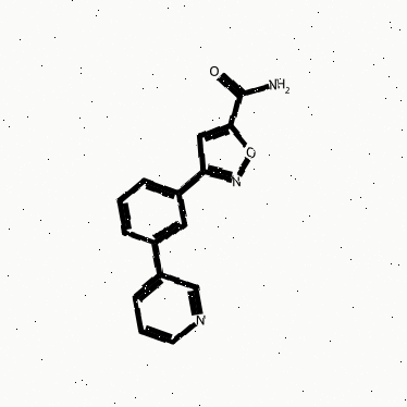 NC(=O)c1cc(-c2cccc(-c3cccnc3)c2)no1